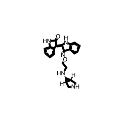 O=C1Nc2ccccc2/C1=C1/Nc2ccccc2/C1=N\OCCN[C@@H]1[C@@H]2CNC[C@@H]21